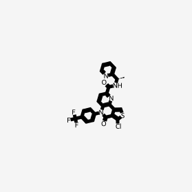 C[C@H](NC(=O)c1ccc2c(n1)c1csc(Cl)c1c(=O)n2-c1ccc(C(F)(F)F)cc1)c1ccccn1